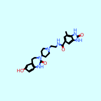 Cc1cc(C(=O)NCCN2CCC(N3CCc4cc(O)ccc4NC3=O)CC2)cc2[nH]c(=O)[nH]c12